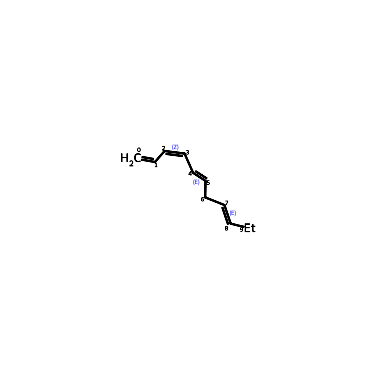 C=C/C=C\C=C\C/C=C/CC